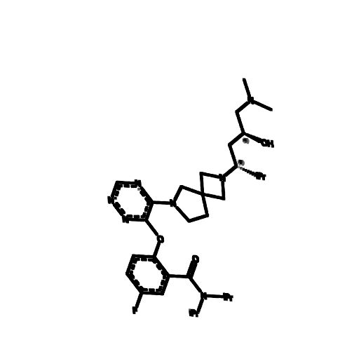 CC(C)[C@@H](C[C@H](O)CN(C)C)N1CC2(CCN(c3ncnnc3Oc3ccc(F)cc3C(=O)N(C(C)C)C(C)C)C2)C1